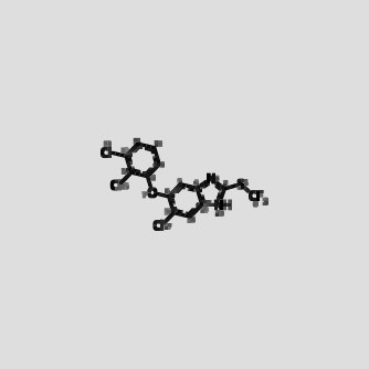 FC(F)(F)Sc1nc2cc(Oc3cccc(Cl)c3Cl)c(Cl)cc2[nH]1